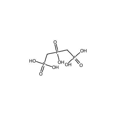 O=P(O)(O)CP(=O)(O)CP(=O)(O)O